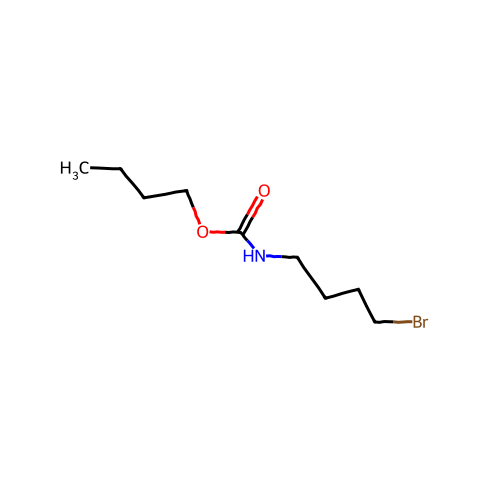 CCCCOC(=O)NCCCCBr